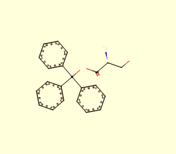 N[C@@H](CO)C(=O)OC(c1ccccc1)(c1ccccc1)c1ccccc1